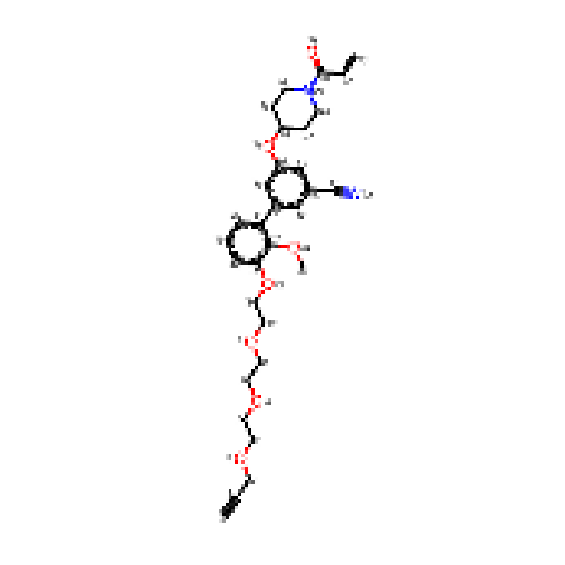 C#CCOCCOCCOCCOc1cccc(-c2cc(C#N)cc(OC3CCN(C(=O)C=C)CC3)c2)c1OC